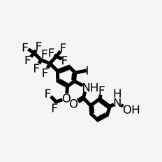 O=C(Nc1c(I)cc(C(F)(C(F)(F)F)C(F)(F)C(F)(F)F)cc1OC(F)F)c1cccc(NO)c1F